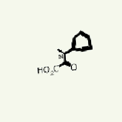 C[C@H](C(=O)C(=O)O)c1ccccc1